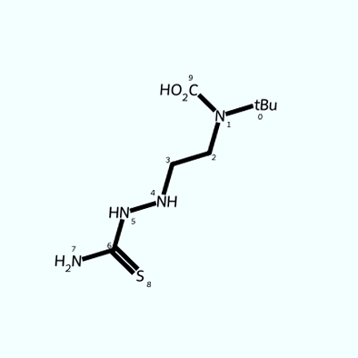 CC(C)(C)N(CCNNC(N)=S)C(=O)O